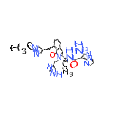 C[C@H](NC(=O)c1c(N)nn2cccnc12)c1cc2cccc(C#Cc3cnn(C)c3)c2c(=O)n1CCc1c[nH]cn1